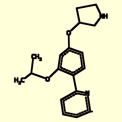 CC(C)Oc1cc(OC2CCNC2)ccc1-c1ccc[c]n1